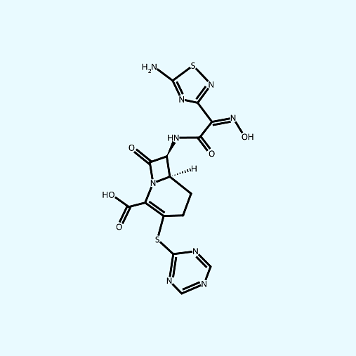 Nc1nc(/C(=N/O)C(=O)N[C@@H]2C(=O)N3C(C(=O)O)=C(Sc4ncncn4)CC[C@H]23)ns1